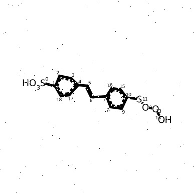 O=S(=O)(O)c1ccc(/C=C/c2ccc(SOOO)cc2)cc1